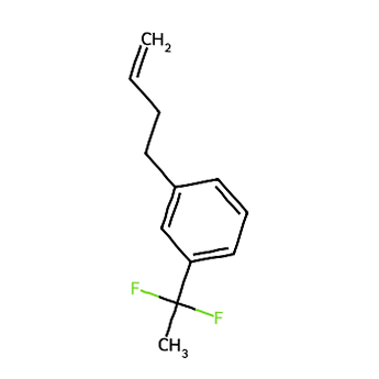 C=CCCc1cccc(C(C)(F)F)c1